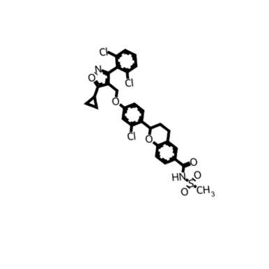 CS(=O)(=O)NC(=O)c1ccc2c(c1)CCC(c1ccc(OCc3c(-c4c(Cl)cccc4Cl)noc3C3CC3)cc1Cl)O2